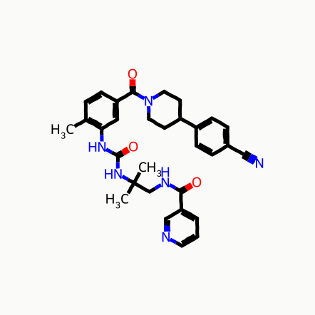 Cc1ccc(C(=O)N2CCC(c3ccc(C#N)cc3)CC2)cc1NC(=O)NC(C)(C)CNC(=O)c1cccnc1